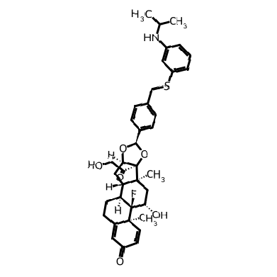 CC(C)Nc1cccc(SCc2ccc([C@@H]3O[C@@H]4C[C@H]5[C@@H]6CCC7=CC(=O)C=C[C@]7(C)[C@@]6(F)[C@@H](O)C[C@]5(C)[C@]4(C(=O)CO)O3)cc2)c1